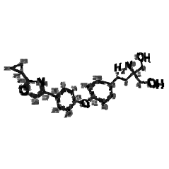 NC(CO)(CO)CCc1ccc(Oc2ccc(-c3coc(C4CC4)n3)cc2)cc1